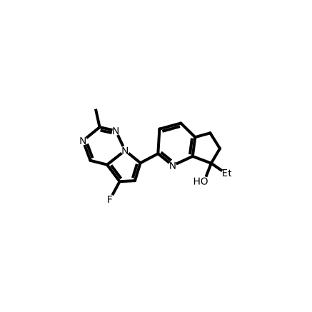 CCC1(O)CCc2ccc(-c3cc(F)c4cnc(C)nn34)nc21